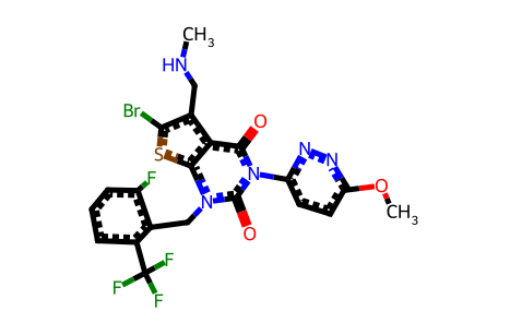 CNCc1c(Br)sc2c1c(=O)n(-c1ccc(OC)nn1)c(=O)n2Cc1c(F)cccc1C(F)(F)F